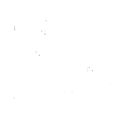 C=CCC(CNCC1CC1)c1ccc2c(c1)N(C(=O)OC1CCOCC1)C[C@H](C)N2C(C)=O